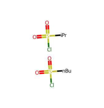 CC(C)S(=O)(=O)Cl.CCCCS(=O)(=O)Cl